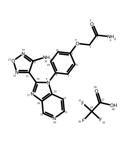 NC(=O)COc1ccc(-n2c(-c3nonc3N)nc3cnccc32)cc1.O=C(O)C(F)(F)F